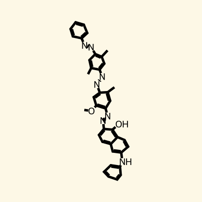 COc1cc(N=Nc2cc(C)c(N=Nc3ccccc3)cc2C)c(C)cc1N=Nc1ccc2cc(Nc3ccccc3)ccc2c1O